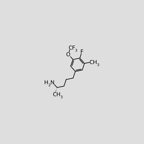 Cc1cc(CCC[C@H](C)N)cc(OC(F)(F)F)c1F